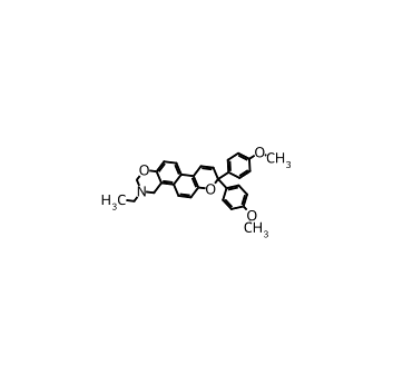 CCN1COc2ccc3c4c(ccc3c2C1)OC(c1ccc(OC)cc1)(c1ccc(OC)cc1)C=C4